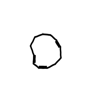 [CH]1C/C=C\CC/C=C\C=C\CC1